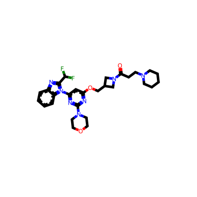 O=C(CCN1CCCCC1)N1CC(COc2cc(-n3c(C(F)F)nc4ccccc43)nc(N3CCOCC3)n2)C1